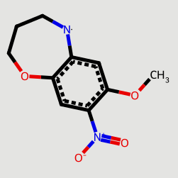 COc1cc2c(cc1[N+](=O)[O-])OCCC[N]2